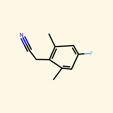 Cc1cc(F)cc(C)c1CC#N